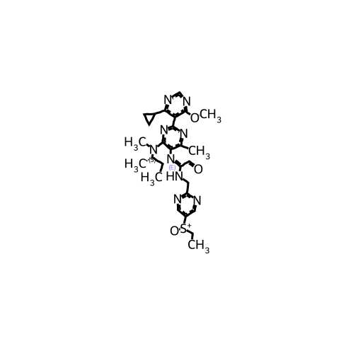 CC[C@H](C)N(C)c1nc(-c2c(OC)ncnc2C2CC2)nc(C)c1/N=C(\C=O)NCc1ncc([S+]([O-])CC)cn1